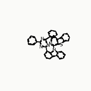 c1ccc(-c2nc(-c3ccccc3)nc(-c3cccc4c5ccccc5n(-c5nccc6c5sc5ccccc56)c34)n2)cc1